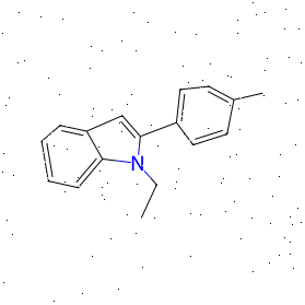 CCn1c(-c2ccc(C)cc2)cc2ccccc21